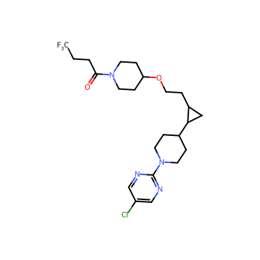 O=C(CCC(F)(F)F)N1CCC(OCCC2CC2C2CCN(c3ncc(Cl)cn3)CC2)CC1